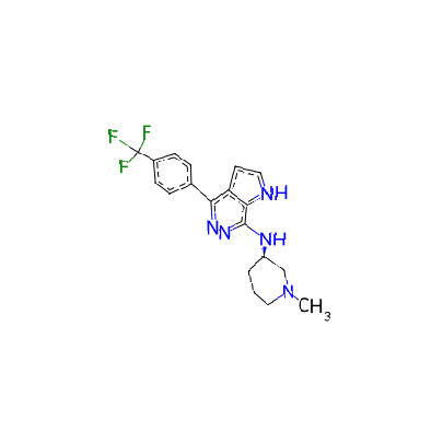 CN1CCC[C@@H](Nc2nnc(-c3ccc(C(F)(F)F)cc3)c3cc[nH]c23)C1